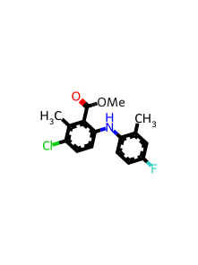 COC(=O)c1c(Nc2ccc(F)cc2C)ccc(Cl)c1C